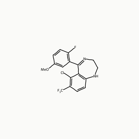 COc1ccc(F)c(C2=NCCNc3ccc(C(F)(F)F)c(Cl)c32)c1